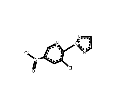 O=[N+]([O-])c1cnc(-n2nccn2)c(Cl)c1